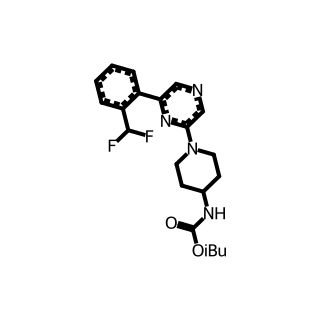 CC(C)COC(=O)NC1CCN(c2cncc(-c3ccccc3C(F)F)n2)CC1